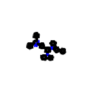 c1ccc(-c2ccc3c(c2)c2ccccc2n3-c2cc(-c3ccc(-c4nc(-c5ccccc5)cc(-c5ccccc5)n4)cc3)cc(-n3c4ccccc4c4ccccc43)c2)cc1